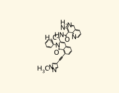 CC(NC(=O)c1c(N)ncc2cccnc12)c1cc2cccc(C#Cc3cnn(C)c3)c2c(=O)n1-c1ccccc1